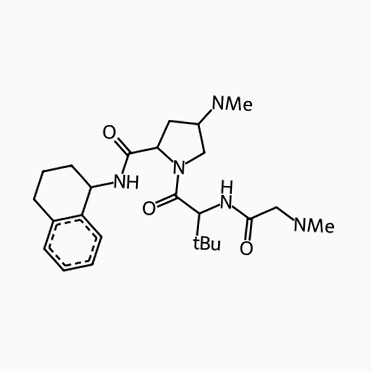 CNCC(=O)NC(C(=O)N1CC(NC)CC1C(=O)NC1CCCc2ccccc21)C(C)(C)C